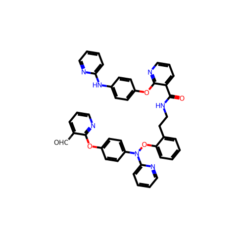 O=Cc1cccnc1Oc1ccc(N(Oc2ccccc2CCNC(=O)c2cccnc2Oc2ccc(Nc3ccccn3)cc2)c2ccccn2)cc1